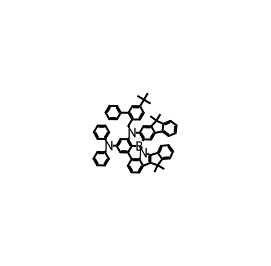 CC(C)(C)c1ccc(CN2c3cc4c(cc3B3c5c(cc(N(c6ccccc6)c6ccccc6)cc52)-c2cccc5c6c(n3c25)-c2ccccc2C6(C)C)-c2ccccc2C4(C)C)c(-c2ccccc2)c1